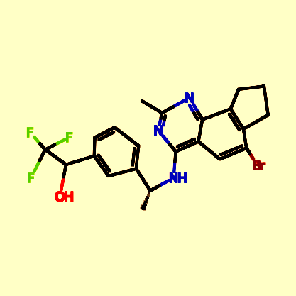 Cc1nc(N[C@H](C)c2cccc(C(O)C(F)(F)F)c2)c2cc(Br)c3c(c2n1)CCC3